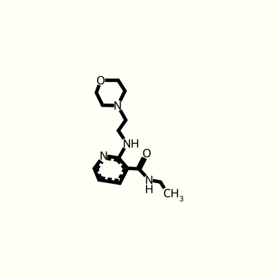 CCNC(=O)c1cccnc1NCCN1CCOCC1